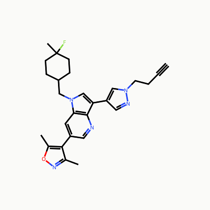 C#CCCn1cc(-c2cn(CC3CCC(C)(F)CC3)c3cc(-c4c(C)noc4C)cnc23)cn1